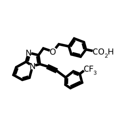 O=C(O)c1ccc(COCc2nc3ccccn3c2C#Cc2cccc(C(F)(F)F)c2)cc1